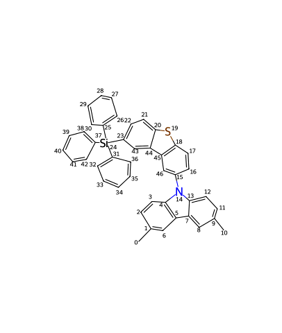 Cc1ccc2c(c1)c1cc(C)ccc1n2-c1ccc2sc3ccc([Si](c4ccccc4)(c4ccccc4)c4ccccc4)cc3c2c1